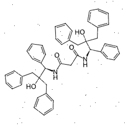 O=C(CC(=O)N[C@H](c1ccccc1)C(O)(Cc1ccccc1)Cc1ccccc1)N[C@H](c1ccccc1)C(O)(Cc1ccccc1)Cc1ccccc1